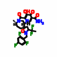 C[C@H]1CC[C@]2(CC(C(C)(F)F)N(Cc3c(F)cc(F)cc3F)O2)[C@H]2CN1C(=O)c1c(O)c(=O)c(C(N)=O)cn12